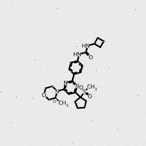 C[C@H]1COCCN1c1cc(C2(S(C)(=O)=O)CCCC2)nc(-c2ccc(NC(=O)NC3CCC3)cc2)n1